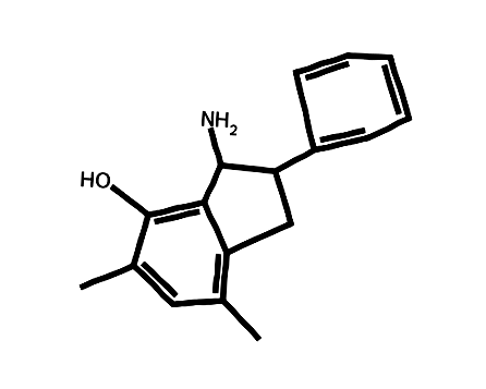 Cc1cc(C)c2c(c1O)C(N)C(c1ccccc1)C2